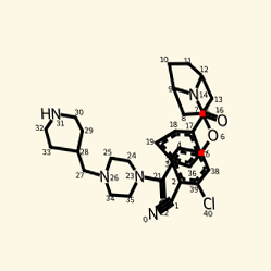 N#Cc1ccc(OC2CC3CCC(C2)N3C(=O)c2ccc(C(=O)N3CCN(CC4CCNCC4)CC3)cc2)cc1Cl